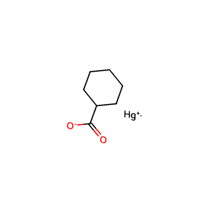 O=C([O-])C1CCCCC1.[Hg+]